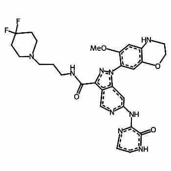 COc1cc2c(cc1-n1nc(C(=O)NCCCN3CCC(F)(F)CC3)c3cnc(Nc4ncc[nH]c4=O)cc31)OCCN2